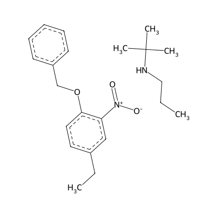 CCCNC(C)(C)C.CCc1ccc(OCc2ccccc2)c([N+](=O)[O-])c1